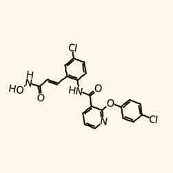 O=C(C=Cc1cc(Cl)ccc1NC(=O)c1cccnc1Oc1ccc(Cl)cc1)NO